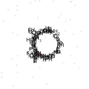 COc1ccc(C[C@@H]2NC(=O)[C@H]([C@@H](C)O)NC(=O)[C@@H]3C[C@H](F)CN3C(=O)[C@H](Cc3c[nH]c4ccc(F)cc34)NC(=O)[C@H](Cc3c[nH]c4ccc(F)cc34)NC(=O)[C@@H](C)NC(=O)CNC(=O)CCNC(=O)COc3ccc(cc3)C[C@@H](C(N)=O)NC(=O)[C@]3(C)CCCN3C2=O)cc1